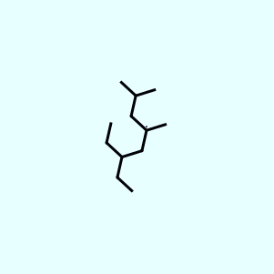 CCC(CC)C[C](C)CC(C)C